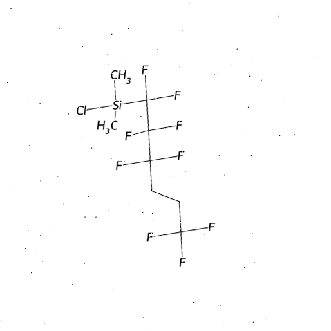 C[Si](C)(Cl)C(F)(F)C(F)(F)C(F)(F)CCC(F)(F)F